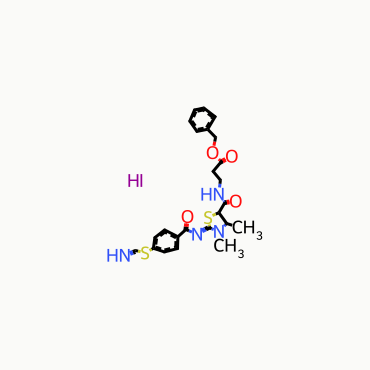 CC1C(C(=O)NCCC(=O)OCc2ccccc2)SC(=NC(=O)c2ccc(SC=N)cc2)N1C.I